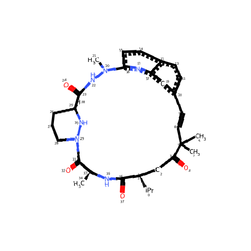 CC(C)[C@@H]1CC(=O)C(C)(C)/C=C/c2ccc3ccc(nc3c2)N(C)NC(=O)[C@@H]2CCCN(N2)C(=O)[C@H](C)NC1=O